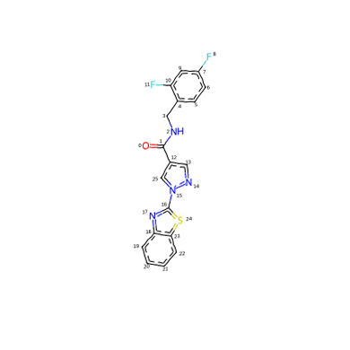 O=C(NCc1ccc(F)cc1F)c1cnn(-c2nc3ccccc3s2)c1